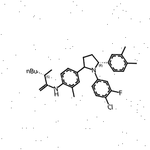 C=C(Nc1ccc(C2CC[C@H](c3ccc(C)c(C)c3)N2c2ccc(Cl)c(F)c2)cc1C)[C@@H](C)CCCC